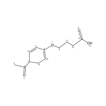 CC(=O)C1C=CC(OCCCC(=O)O)=CC1